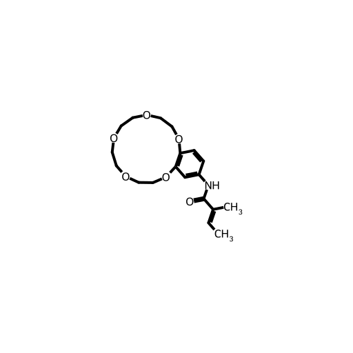 C/C=C(\C)C(=O)Nc1ccc2c(c1)OCCOCCOCCOCCO2